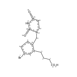 O=C(O)CCCc1cc(Br)ccc1Cn1ccc(=O)[nH]c1=O